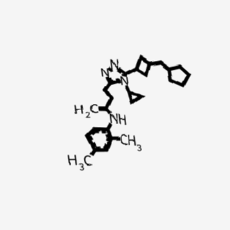 C=C(CCc1nnc(C2CC(CC3CCCC3)C2)n1C1CC1)Nc1ccc(C)cc1C